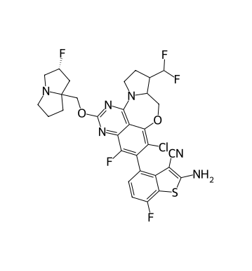 N#Cc1c(N)sc2c(F)ccc(-c3c(Cl)c4c5c(nc(OCC67CCCN6C[C@H](F)C7)nc5c3F)N3CCC(C(F)F)C3CO4)c12